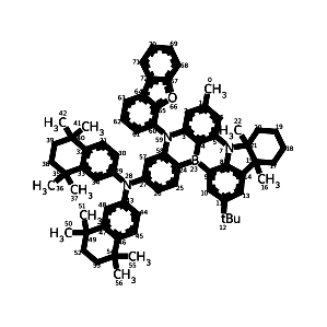 Cc1cc2c3c(c1)N1c4c(cc(C(C)(C)C)cc4C4(C)CCCCC14C)B3c1ccc(N(c3ccc4c(c3)C(C)(C)CCC4(C)C)c3ccc4c(c3)C(C)(C)CCC4(C)C)cc1N2c1cccc2c1oc1ccccc12